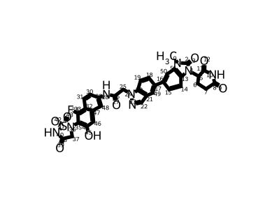 Cn1c(=O)n(C2CCC(=O)NC2=O)c2ccc(-c3ccc4c(cnn4CC(=O)Nc4ccc5c(F)c(N6CC(=O)NS6(=O)=O)c(O)cc5c4)c3)cc21